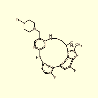 CCN1CCN(Cc2cnc3cc2NCCC(C)n2c(C)nc4c(F)cc(cc42)-c2nc(ncc2F)N3)CC1